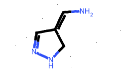 NC=C1C=NNC1